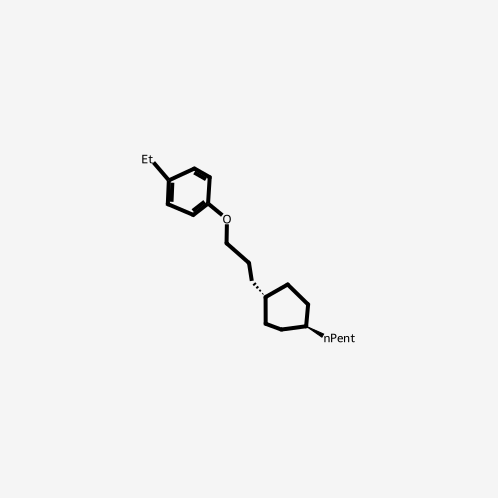 CCCCC[C@H]1CC[C@H](CCCOc2ccc(CC)cc2)CC1